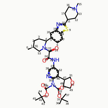 C[C@H]1CCC(c2ccc3sc(C4CCN(C)CC4)nc3c2)N(C(=O)C(=O)Nc2cnc(N(C(=O)OC(C)(C)C)C(=O)OC(C)(C)C)c(C3CCOC3)c2)C1